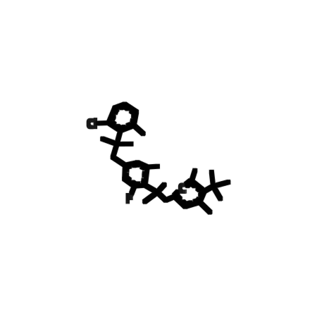 Cc1cc(CC(C)(C)c2c(C)cc(CC(C)(C)c3c(C)cccc3Cl)cc2F)cc(C)c1C(C)(C)C